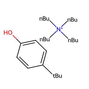 CC(C)(C)c1ccc(O)cc1.CCCC[N+](CCCC)(CCCC)CCCC